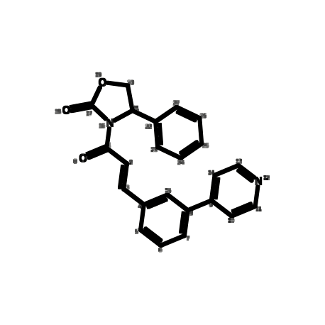 O=C(C=Cc1cccc(-c2ccncc2)c1)N1C(=O)OCC1c1ccccc1